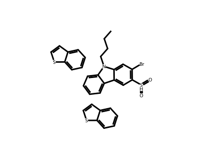 CCCCn1c2ccccc2c2cc([SH](=O)=O)c(Br)cc21.c1ccc2sccc2c1.c1ccc2sccc2c1